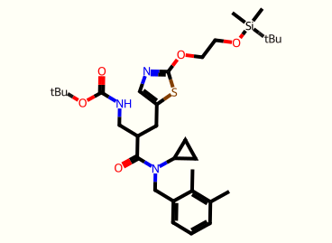 Cc1cccc(CN(C(=O)C(CNC(=O)OC(C)(C)C)Cc2cnc(OCCO[Si](C)(C)C(C)(C)C)s2)C2CC2)c1C